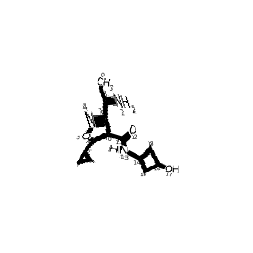 CC(N)c1noc(C2CC2)c1C(=O)NC1CC(O)C1